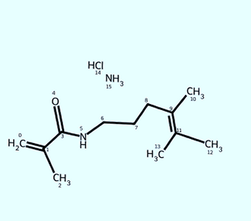 C=C(C)C(=O)NCCCC(C)=C(C)C.Cl.N